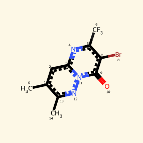 Cc1cc2nc(C(F)(F)F)c(Br)c(=O)n2nc1C